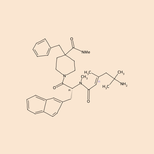 CNC(=O)C1(Cc2ccccc2)CCN(C(=O)[C@@H](Cc2ccc3ccccc3c2)N(C)C(=O)/C=C(\C)CC(C)(C)N)CC1